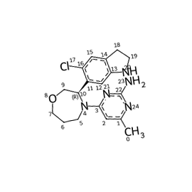 Cc1cc(N2CCCOC[C@H]2c2cc3c(cc2Cl)CCN3)nc(N)n1